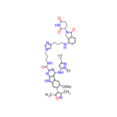 CCn1nc(C2CC2)cc1Nc1nc(C(=O)NCCCn2cnc(CCCNc3cccc4c3CN(C3CCC(=O)NC3=O)C4=O)c2)nc2[nH]c3cc(-c4c(C)noc4C)c(OC)cc3c12